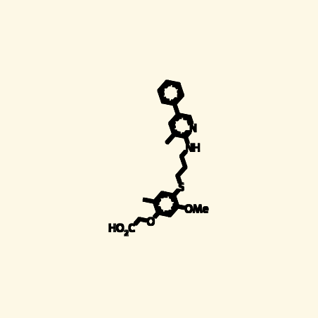 COc1cc(OCC(=O)O)c(C)cc1SCCCNc1ncc(-c2ccccc2)cc1C